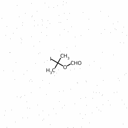 CC(C)(I)OC=O